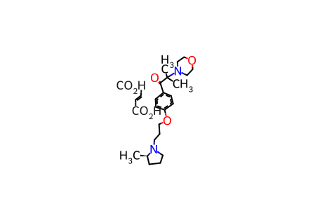 C[C@@H]1CCCN1CCCOc1ccc(C(=O)C(C)(C)N2CCOCC2)cc1.O=C(O)/C=C/C(=O)O